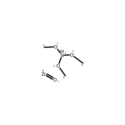 CO[SiH](OC)OC.[O]=[Zr]